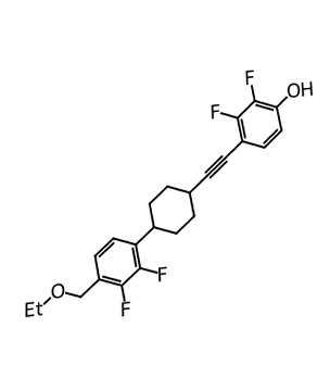 CCOCc1ccc(C2CCC(C#Cc3ccc(O)c(F)c3F)CC2)c(F)c1F